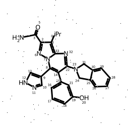 CC(C)c1c(C(N)=O)nn2c(-c3cn[nH]c3)c(-c3cccc(O)c3)c(N3Cc4ccccc4C3)nc12